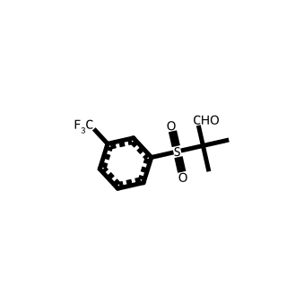 CC(C)(C=O)S(=O)(=O)c1cccc(C(F)(F)F)c1